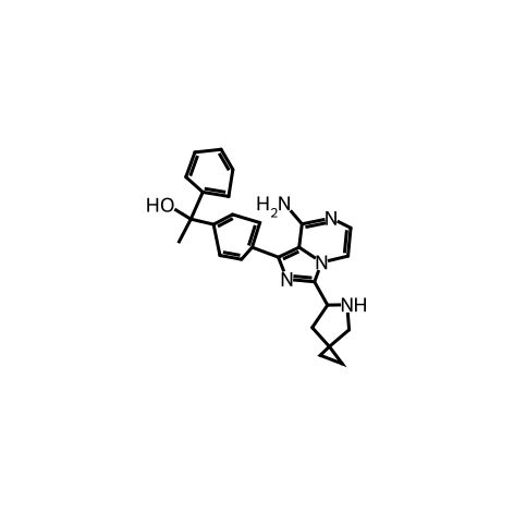 CC(O)(c1ccccc1)c1ccc(-c2nc(C3CC4(CC4)CN3)n3ccnc(N)c23)cc1